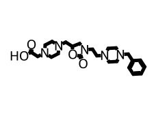 O=C(O)CN1CCN(CC2CN(CCN3CCN(Cc4ccccc4)CC3)C(=O)O2)CC1